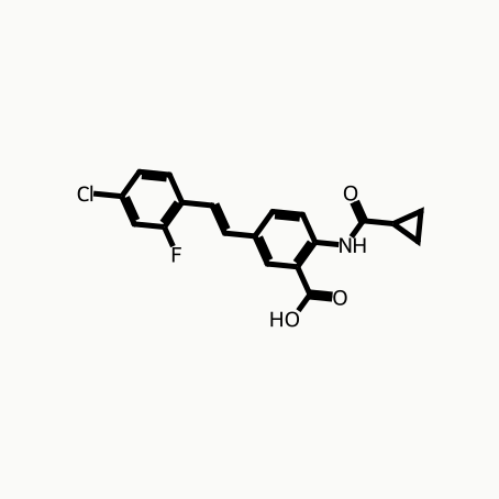 O=C(O)c1cc(C=Cc2ccc(Cl)cc2F)ccc1NC(=O)C1CC1